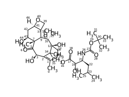 CC1=C2[C@@H](O)C(=O)[C@@]3(C)[C@H]([C@H](C)[C@](O)(C[C@@H]1OC(=O)C(O)[C@H](CC(C)C)NC(=O)OC(C)(C)C)C2(C)C)[C@]1(C)CO[C@@H]1C[C@@H]3O